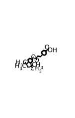 CC1(C)CCC(C)(C)c2cc(OC(=O)C=Cc3ccc(C(=O)O)cc3)ccc21